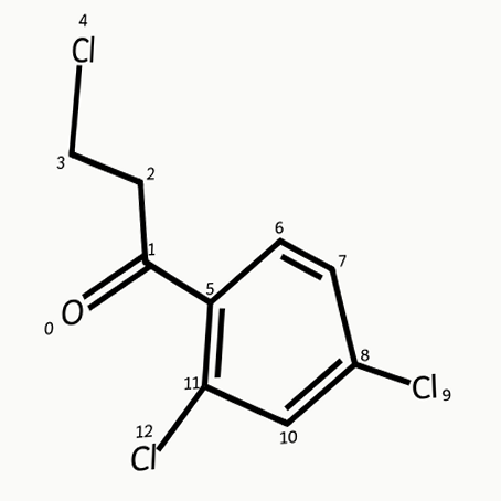 O=C(CCCl)c1ccc(Cl)cc1Cl